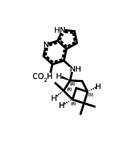 C[C@@H]1[C@H]2C[C@@H](C[C@H]1Nc1c(C(=O)O)cnc3[nH]ccc13)C2(C)C